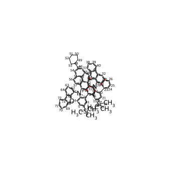 C[Si](C)(C)c1ccc(N(c2cc(N(c3ccc([Si](C)(C)C)cc3-c3ccccc3)c3cccc4c3oc3ccccc34)c3ccc4cc(C5CCCCC5)cc5ccc2c3c54)c2cccc3c2oc2ccccc23)c(-c2ccccc2)c1